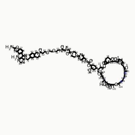 CO[C@H]1C[C@@H]2CC[C@@H](C)[C@@](O)(O2)C(=O)C(=O)N2CCCC[C@H]2C(=O)O[C@H]([C@H](C)C[C@@H]2CC[C@@H](OC(=O)NCc3cnc(N4CCN(C(=O)CN(C)CC(=O)NCCOCCOCCC(=O)N5CCc6cc(Cn7nc(-c8ccc9oc(N)nc9c8)c8c(N)ncnc87)ccc6C5)CC4)nc3)[C@H](OC)C2)C[C@@H](OC)[C@H](C)/C=C(\C)[C@@H](O)[C@@H](OC)C(=O)[C@H](C)C[C@H](C)/C=C/C=C/C=C/1C